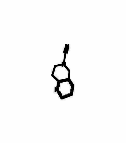 N#CN1CCc2ncccc2C1